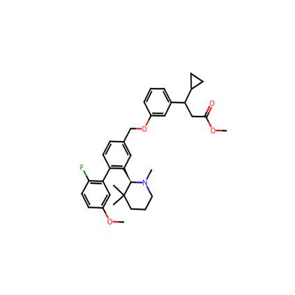 COC(=O)CC(c1cccc(OCc2ccc(-c3cc(OC)ccc3F)c([C@H]3N(C)CCCC3(C)C)c2)c1)C1CC1